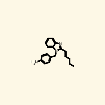 CCCC=Cc1nc2ccccc2n1Cc1ccc(N)cc1